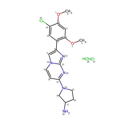 COc1cc(OC)c(-c2cn3ccc(N4CCC(N)C4)nc3n2)cc1Cl.Cl.Cl